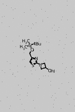 CC(C)(C)[Si](C)(C)OCc1csc(N2CC(O)C2)n1